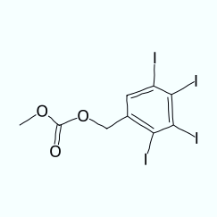 COC(=O)OCc1cc(I)c(I)c(I)c1I